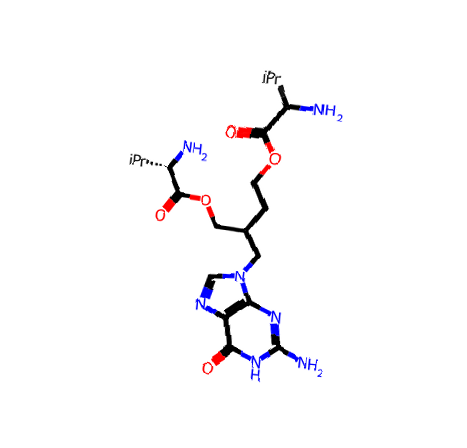 CC(C)C(N)C(=O)OCCC(COC(=O)[C@@H](N)C(C)C)Cn1cnc2c(=O)[nH]c(N)nc21